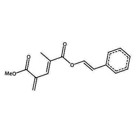 C=C(C=C(C)C(=O)OC=Cc1ccccc1)C(=O)OC